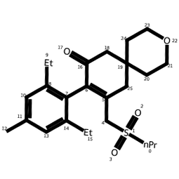 CCCS(=O)(=O)CC1=C(c2c(CC)cc(C)cc2CC)C(=O)CC2(CCOCC2)C1